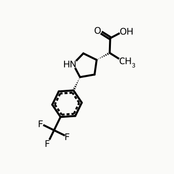 CC(C(=O)O)[C@H]1CN[C@@H](c2ccc(C(F)(F)F)cc2)C1